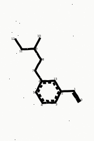 C=Cc1cccc(CCC(C)CC)c1